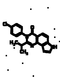 CC(C)c1nc2c(ccc3[nH]ccc32)c(=O)n1-c1ccc(Cl)cc1